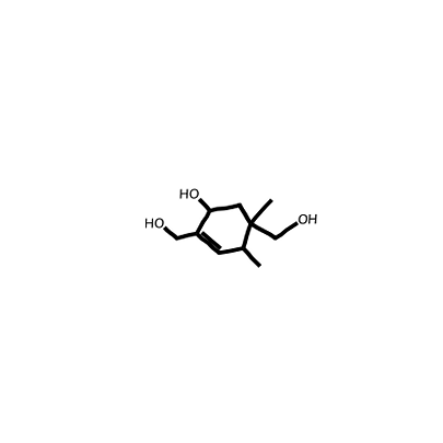 CC1C=C(CO)C(O)CC1(C)CO